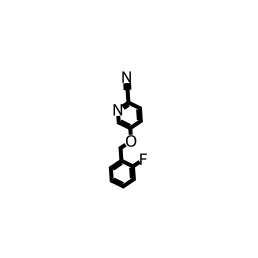 N#Cc1ccc(OCc2ccccc2F)cn1